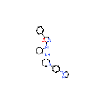 c1ccc(-c2cnc(N[C@@H]3CCCC[C@H]3N[C@H]3CCCN(c4ccc(-n5cccn5)cc4)C3)o2)cc1